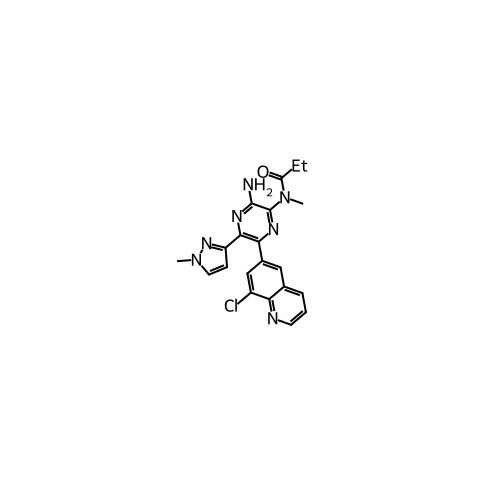 CCC(=O)N(C)c1nc(-c2cc(Cl)c3ncccc3c2)c(-c2ccn(C)n2)nc1N